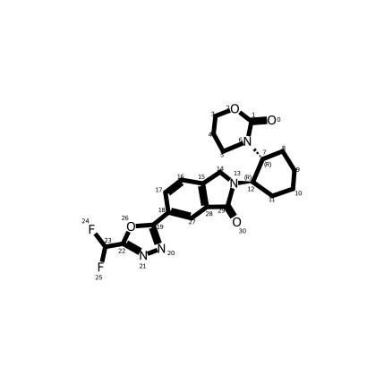 O=C1OCCCN1[C@@H]1CCCC[C@H]1N1Cc2ccc(-c3nnc(C(F)F)o3)cc2C1=O